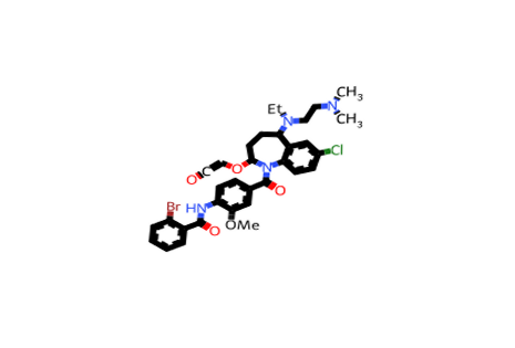 CCN(CCN(C)C)C1CCC(OC=C=O)N(C(=O)c2ccc(NC(=O)c3ccccc3Br)c(OC)c2)c2ccc(Cl)cc21